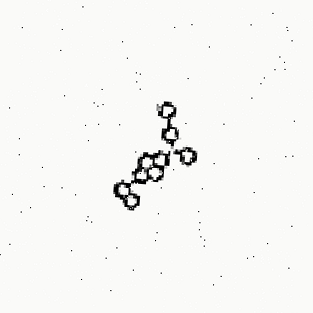 c1ccc(N(c2ccc(-c3cccnc3)cc2)c2cc3ccc4cc(-c5cccc6ccccc56)cc5ccc(c2)c3c45)cc1